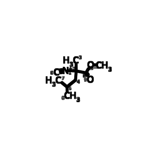 [C-]#[N+]C(C)(CC(C)C)C(=O)OC